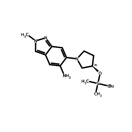 Cn1cc2cc(N)c(N3CC[C@@H](O[Si](C)(C)C(C)(C)C)C3)cc2n1